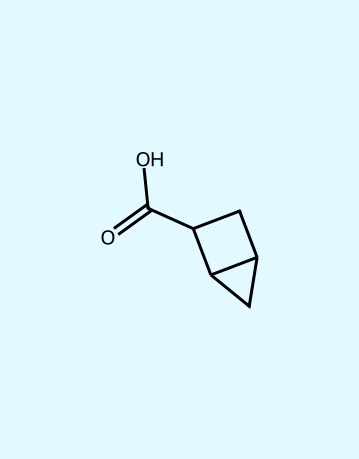 O=C(O)C1CC2CC21